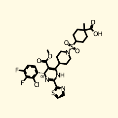 COC(=O)C1=C(C2CCN(S(=O)(=O)C3CCC(C)(C(=O)O)CC3)CC2)NC(c2nccs2)=N[C@@H]1c1ccc(F)c(F)c1Cl